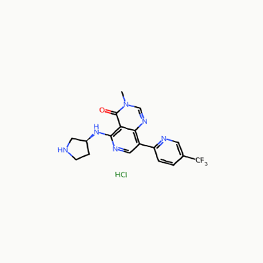 Cl.Cn1cnc2c(-c3ccc(C(F)(F)F)cn3)cnc(N[C@H]3CCNC3)c2c1=O